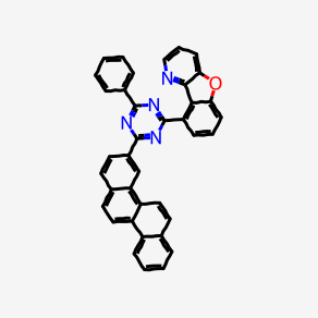 c1ccc(-c2nc(-c3ccc4ccc5c6ccccc6ccc5c4c3)nc(-c3cccc4oc5cccnc5c34)n2)cc1